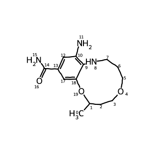 CC1CCOCCCNc2c(N)cc(C(N)=O)cc2O1